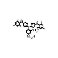 Cc1cc(C)c(N(C)c2ccc(C(c3ccc(N(C)c4c(C)cc(C)cc4C)cc3)c3ccc(S(=O)(=O)O)cc3S(=O)(=O)O)cc2)c(C)c1